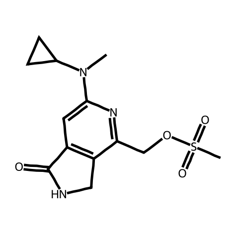 CN(c1cc2c(c(COS(C)(=O)=O)n1)CNC2=O)C1CC1